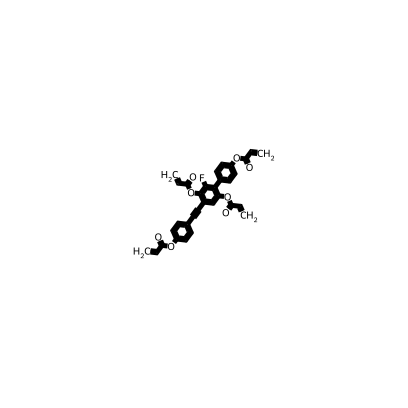 C=CC(=O)Oc1ccc(C#Cc2cc(OC(=O)C=C)c(-c3ccc(OC(=O)C=C)cc3)c(F)c2OC(=O)C=C)cc1